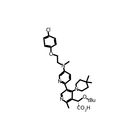 Cc1ncc(-c2ccc(N(C)CCOc3ccc(Cl)cc3)cn2)c(N2CCC(C)(C)CC2)c1[C@H](OC(C)(C)C)C(=O)O